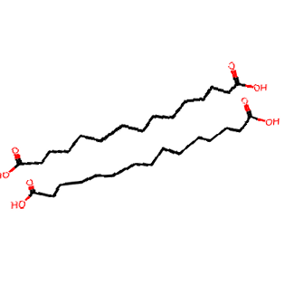 O=C(O)CCCCCCCCCCCCCC(=O)O.O=C(O)CCCCCCCCCCCCCC(=O)O